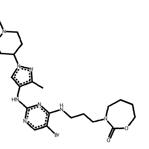 Cc1nn(C2CCN(C)CC2)cc1Nc1ncc(Br)c(NCCCN2CCCCOC2=O)n1